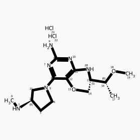 CN[C@@H]1CCN(c2nc(N)nc3c2OC[C@@H]([C@@H](C)OC)N3)C1.Cl.Cl